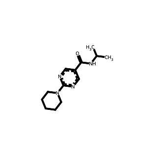 CC(C)NC(=O)c1cnc(N2CCCCC2)nc1